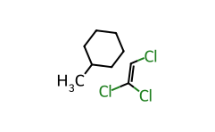 CC1CCCCC1.ClC=C(Cl)Cl